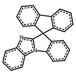 c1ccc2c(c1)-c1ccccc1C21c2ccccc2-n2c1nc1ccccc12